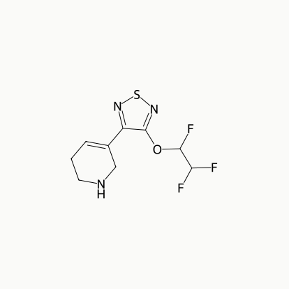 FC(F)C(F)Oc1nsnc1C1=CCCNC1